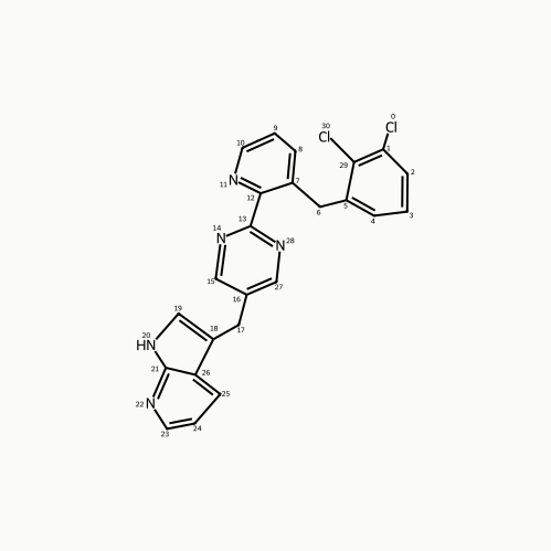 Clc1cccc(Cc2cccnc2-c2ncc(Cc3c[nH]c4ncccc34)cn2)c1Cl